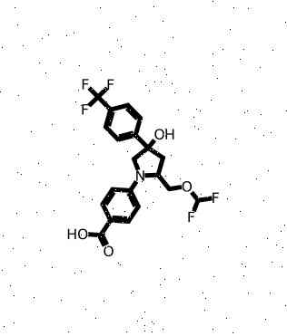 O=C(O)c1ccc(N2CC(O)(c3ccc(C(F)(F)F)cc3)CC2COC(F)F)cc1